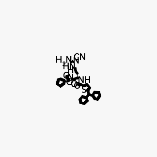 N#CN=C(N)NCCC[C@H](NC(=O)c1ccc(C(c2ccccc2)c2ccccc2)s1)C(=O)NS(=O)(=O)c1ccccc1